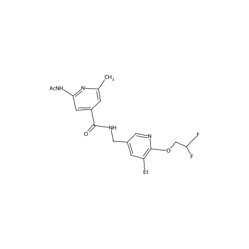 CCc1cc(CNC(=O)c2cc(C)nc(NC(C)=O)c2)cnc1OCC(F)F